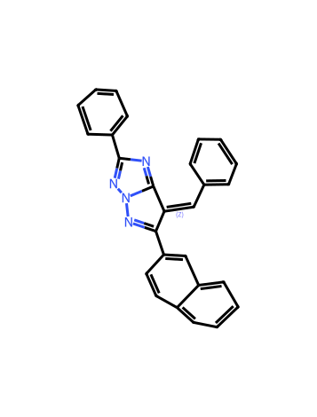 C(/c1ccccc1)=c1\c(-c2ccc3ccccc3c2)nn2nc(-c3ccccc3)nc12